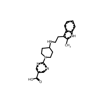 Cc1[nH]c2ccccc2c1CCNC1CCN(c2ncc(C(=O)O)cn2)CC1